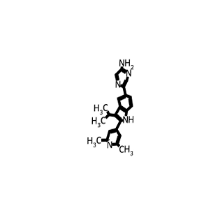 Cc1cc(-c2[nH]c3ccc(-c4cnc(N)cn4)cc3c2C(C)C)cc(C)n1